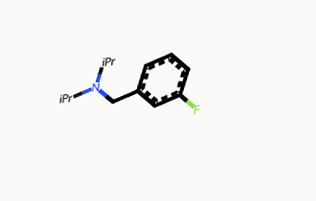 CC(C)N(Cc1cccc(F)c1)C(C)C